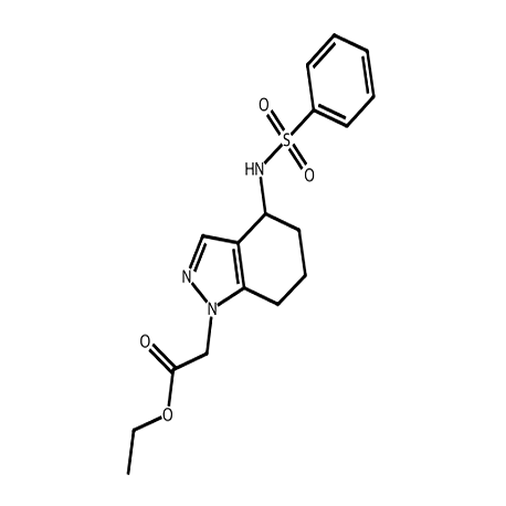 CCOC(=O)Cn1ncc2c1CCCC2NS(=O)(=O)c1ccccc1